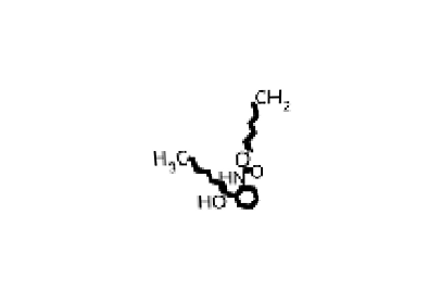 C=CCCCCCOC(=O)NC1CCCCC1C(O)=CCCCCC